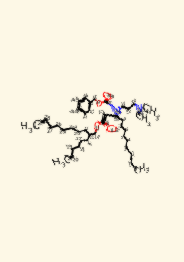 CCCCCCCCCC(CC(=O)OCC(CCCCCC)CCCCCCCC)N(CCCN(C)C)C(=O)OCc1ccccc1